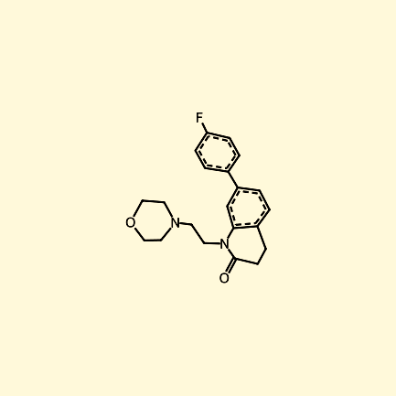 O=C1CCc2ccc(-c3ccc(F)cc3)cc2N1CCN1CCOCC1